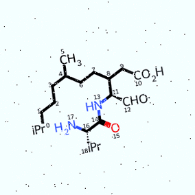 CC(C)CCCC(C)CCC(CC(=O)O)[C@@H]([C]=O)NC(=O)[C@@H](N)C(C)C